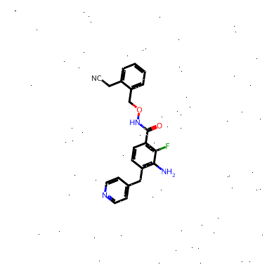 N#CCc1ccccc1CONC(=O)c1ccc(Cc2ccncc2)c(N)c1F